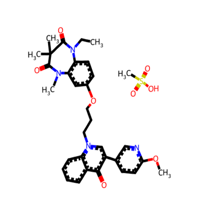 CCN1C(=O)C(C)(C)C(=O)N(C)c2cc(OCCCn3cc(-c4ccc(OC)nc4)c(=O)c4ccccc43)ccc21.CS(=O)(=O)O